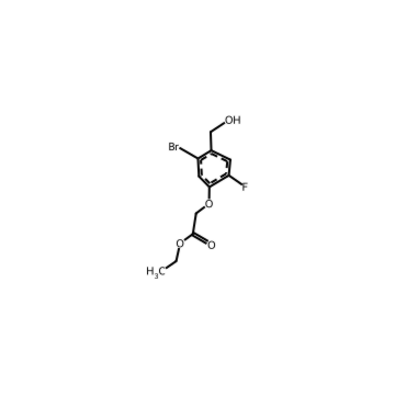 CCOC(=O)COc1cc(Br)c(CO)cc1F